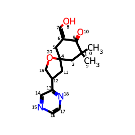 CC1(C)CC2(CC(=CO)C1=O)CC(c1cnccn1)CO2